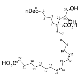 CCCCCCCCCCCCCCC(CCCCC/C=C\C/C=C\CCCCCCCC(=O)O)(CC(O)CO)C(=O)O